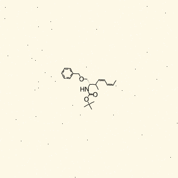 C/C=C\C=C/C(C)[C@@H](COCc1ccccc1)NC(=O)OC(C)(C)C